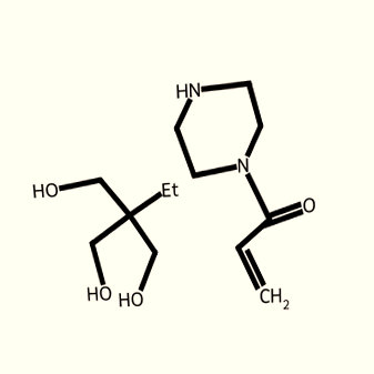 C=CC(=O)N1CCNCC1.CCC(CO)(CO)CO